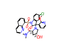 COc1ncccc1C1(N2C[C@H](O)C[C@H]2C(=O)N(C)C)C(=O)N(S(=O)(=O)c2cccc3cccnc23)c2ccc(Cl)cc21